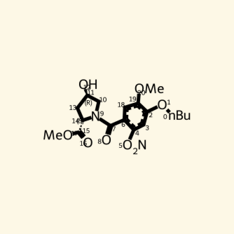 CCCCOc1cc([N+](=O)[O-])c(C(=O)N2C[C@H](O)C[C@H]2C(=O)OC)cc1OC